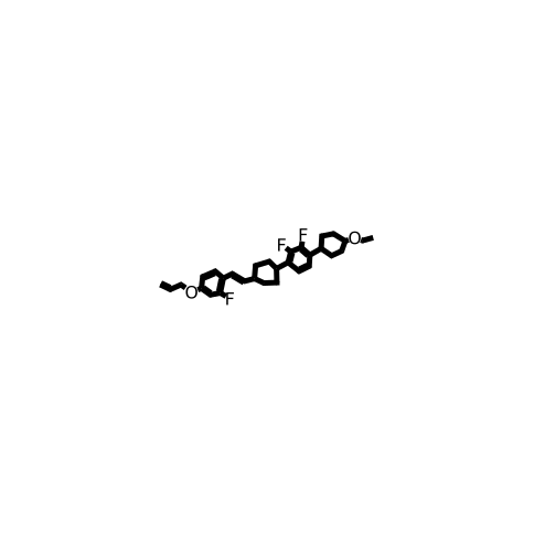 C=CCOc1ccc(/C=C/C2CCC(c3ccc(C4CCC(OCC)CC4)c(F)c3F)CC2)c(F)c1